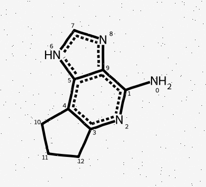 Nc1nc2c(c3[nH]cnc13)CCC2